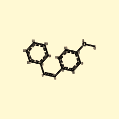 COc1ccc(/C=C\c2ccccc2)cc1